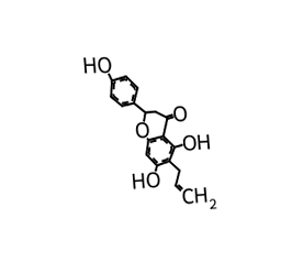 C=CCc1c(O)cc2c(c1O)C(=O)CC(c1ccc(O)cc1)O2